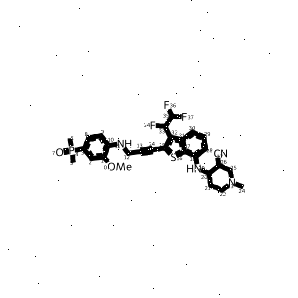 COc1cc(P(C)(C)=O)ccc1NCC#Cc1sc2c(NC3CCN(C)CC3C#N)cccc2c1C(F)C(F)F